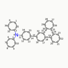 c1ccc(N(c2ccccc2)c2ccc(-c3ccc4c5ccccc5c5ccccc5c4c3)cc2)cc1